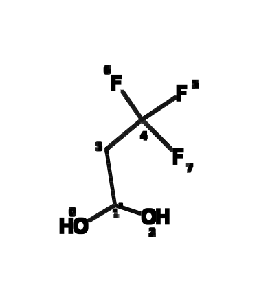 O[C](O)CC(F)(F)F